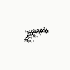 CCCCOC(=O)C(CC(C)(CC)C(=O)OCC(O)CN(CC(=O)O)CC(=O)O)C(C)CC(C)(C)C(=O)Oc1ccc(C(=O)c2ccccc2)cc1